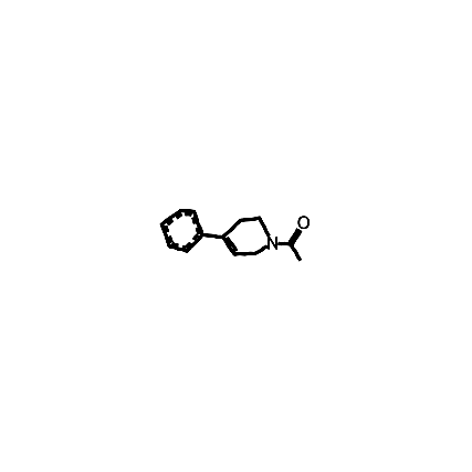 CC(=O)N1CC=C(c2ccccc2)CC1